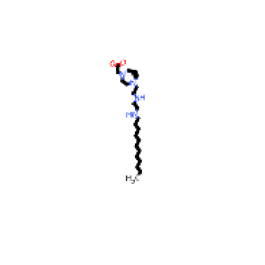 CCCCCCCCCCCCNCCNCCN1C#CC=[N+](CC(=O)[O-])CC1